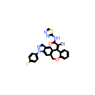 CCC(C(=O)Nc1nncs1)=C1c2cc3cnn(-c4ccc(F)cc4)c3cc2COc2ccccc21